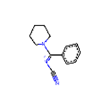 N#C/N=C(\c1ccccc1)N1CCCCC1